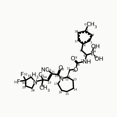 Cc1ccc(CC(NC(=O)OC[C@H]2CCCCCN2C(=O)C(C#N)=CC(C)(C)N2CCC(F)(F)C2)B(O)O)cc1